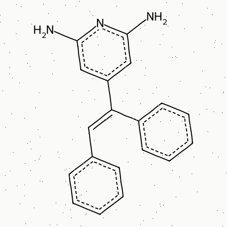 Nc1cc(/C(=C/c2ccccc2)c2ccccc2)cc(N)n1